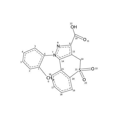 Cc1ccccc1-n1nc(C(=O)O)c2c1-c1ccccc1S(=O)(=O)C2